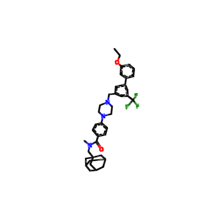 CCOc1cccc(-c2cc(CN3CCN(c4ccc(C(=O)N(C)CC56CC7CC(CC(C7)C5)C6)cc4)CC3)cc(C(F)(F)F)c2)c1